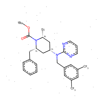 CC[C@@H]1C[C@H](N(Cc2cc(C(F)(F)F)cc(C(F)(F)F)c2)c2ncccn2)C[C@H](Cc2ccccc2)N1C(=O)OC(C)(C)C